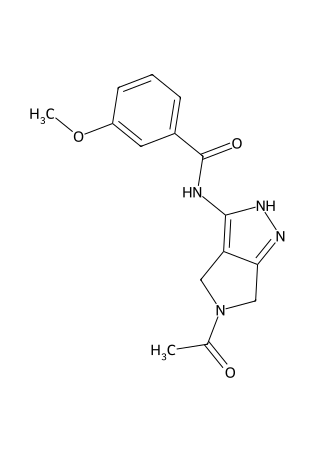 COc1cccc(C(=O)Nc2[nH]nc3c2CN(C(C)=O)C3)c1